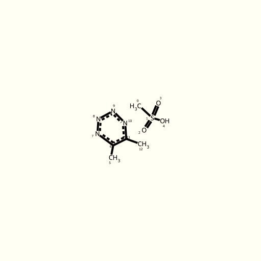 CS(=O)(=O)O.Cc1nnnnc1C